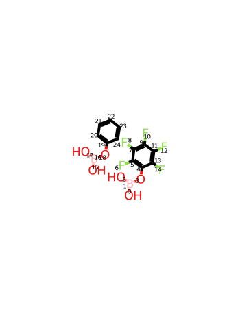 OB(O)Oc1c(F)c(F)c(F)c(F)c1F.OB(O)Oc1ccccc1